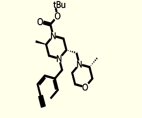 C#C/C=C\C(=C/C)CN1C[C@@H](C)N(C(=O)OC(C)(C)C)C[C@@H]1CN1CCOC[C@H]1C